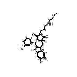 COCCNCCCN1C(=O)N2C(c3cccc(O)c3)c3[nH]c4cc(F)c(Cl)cc4c3CC2(C)C1=O